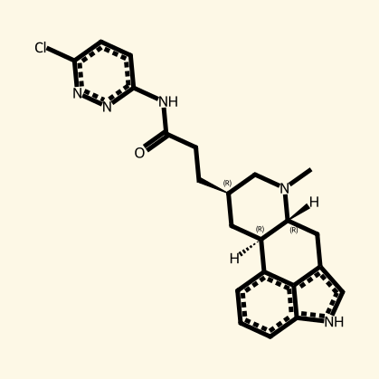 CN1C[C@H](CCC(=O)Nc2ccc(Cl)nn2)C[C@@H]2c3cccc4[nH]cc(c34)C[C@H]21